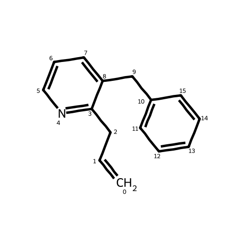 C=CCc1ncccc1Cc1ccccc1